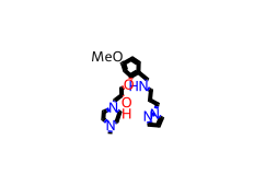 COc1ccc(CNCCCn2cccn2)c(OCC(O)CN2CCN(C)CC2)c1